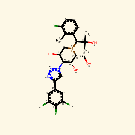 Cc1c(F)cccc1C([SH]1C[C@H](O)[C@H](n2cc(-c3cc(F)c(F)c(F)c3)nn2)[C@@H](O)[C@H]1CO)C(C)(C)O